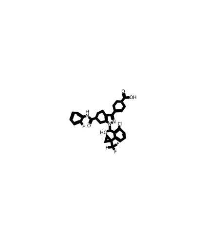 O=C(O)C1CC=C(c2nn(C(O)c3c(Cl)cccc3C3(C(F)(F)F)CC3)c3c2CCC(C(=O)Nc2ccccc2F)C3)CC1